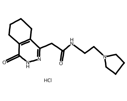 Cl.O=C(Cc1n[nH]c(=O)c2c1CCCC2)NCCN1CCCC1